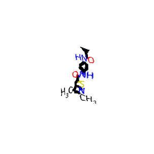 Cc1cc(C)c2cc(C(=O)Nc3ccc(NC(=O)C4CC4)cc3)sc2n1